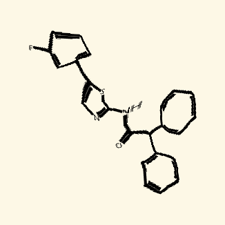 O=C(Nc1ncc(-c2cccc(F)c2)s1)C(c1ccccc1)c1ccccc1